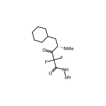 CCCNC(=O)C(F)(F)C(=O)[C@H](CC1CCCCC1)NC